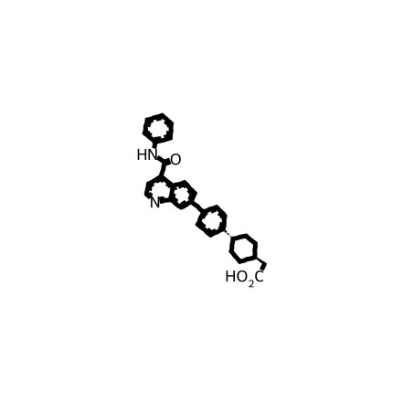 O=C(O)C[C@H]1CC[C@H](c2ccc(-c3ccc4c(C(=O)Nc5ccccc5)ccnc4c3)cc2)CC1